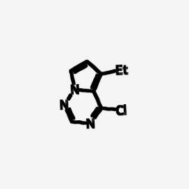 CCc1ccn2ncnc(Cl)c12